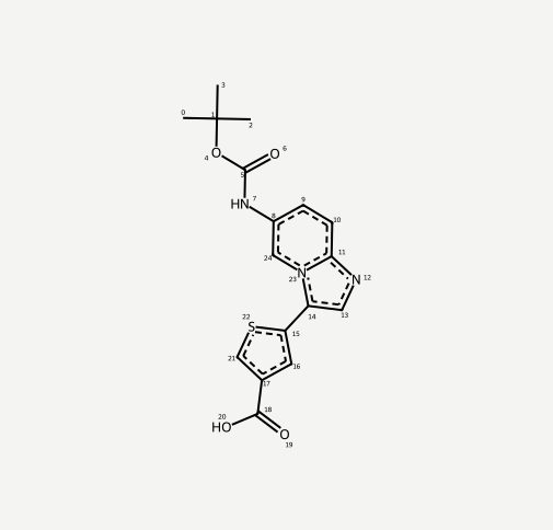 CC(C)(C)OC(=O)Nc1ccc2ncc(-c3cc(C(=O)O)cs3)n2c1